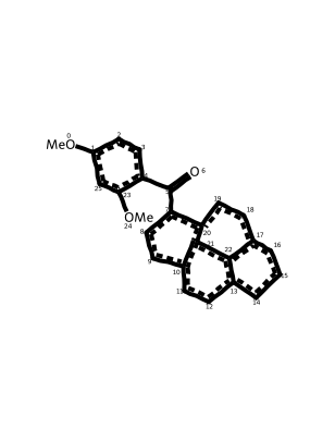 COc1ccc(C(=O)c2ccc3ccc4cccc5ccc2c3c45)c(OC)c1